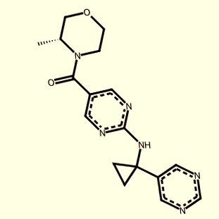 C[C@@H]1COCCN1C(=O)c1cnc(NC2(c3cncnc3)CC2)nc1